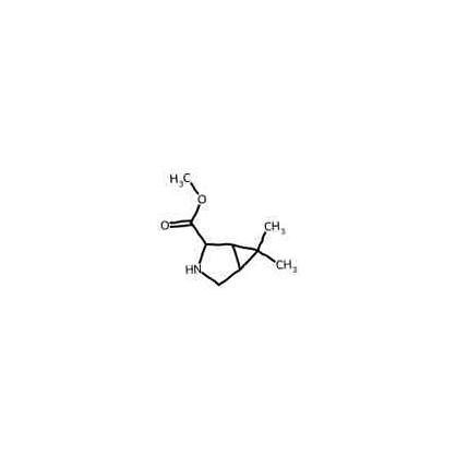 COC(=O)C1NCC2C1C2(C)C